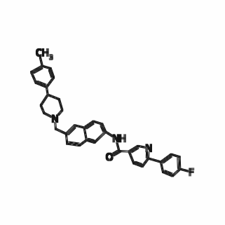 Cc1ccc(C2CCN(Cc3ccc4cc(NC(=O)c5ccc(-c6ccc(F)cc6)nc5)ccc4c3)CC2)cc1